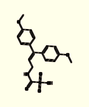 COc1ccc(C(=CCNC(=O)S(=O)(=O)O)c2ccc(OC)cc2)cc1